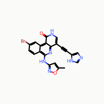 Cc1cc(Nc2nc3c(C#Cc4cnc[nH]4)c[nH]c(=O)c3c3cc(Br)ccc23)no1